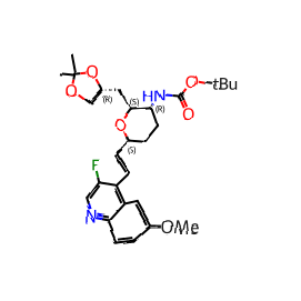 COc1ccc2ncc(F)c(C=C[C@@H]3CC[C@@H](NC(=O)OC(C)(C)C)[C@H](C[C@@H]4COC(C)(C)O4)O3)c2c1